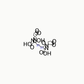 O=C(O)C1=NN(C2CCS(=O)(=O)C2)C(=O)/C1=C\C=C\c1c(C(=O)O)nn(C2CCS(=O)(=O)C2)c1O